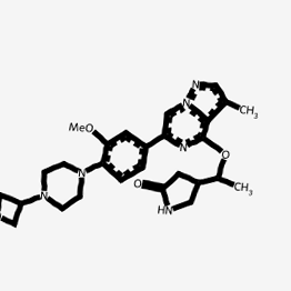 COc1cc(-c2cn3ncc(C)c3c(OC(C)C3CNC(=O)C3)n2)ccc1N1CCN(C2COC2)CC1